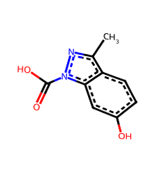 Cc1nn(C(=O)O)c2cc(O)ccc12